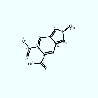 Cn1cc2cc([N+](=O)[O-])c(C(=O)O)cc2n1